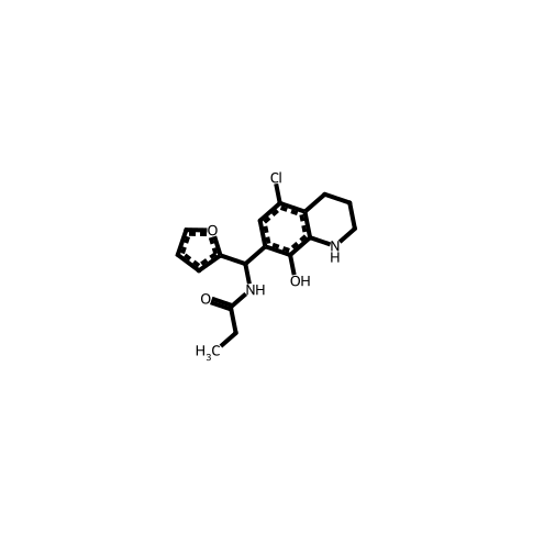 CCC(=O)NC(c1ccco1)c1cc(Cl)c2c(c1O)NCCC2